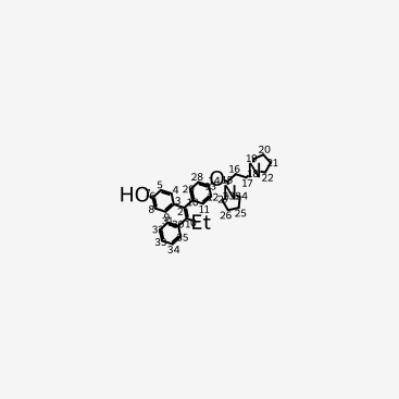 CCC(=C(c1ccc(O)cc1)c1ccc(OC(CCN2CCCC2)N2CCCC2)cc1)c1ccccc1